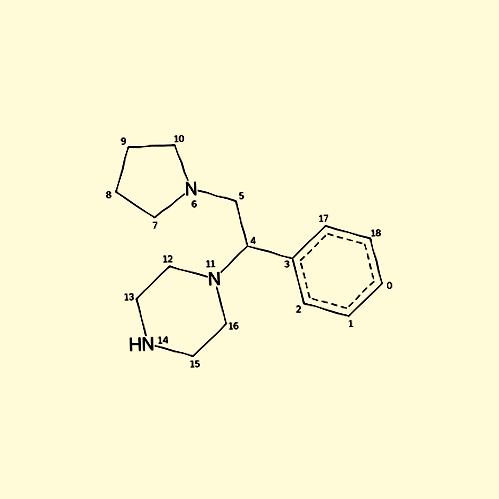 c1ccc(C(CN2CCCC2)N2CCNCC2)cc1